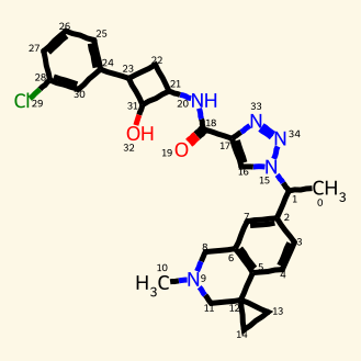 CC(c1ccc2c(c1)CN(C)CC21CC1)n1cc(C(=O)NC2CC(c3cccc(Cl)c3)C2O)nn1